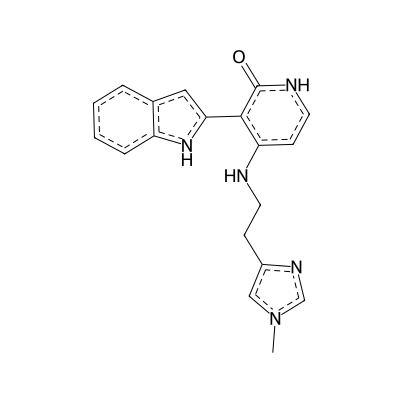 Cn1cnc(CCNc2cc[nH]c(=O)c2-c2cc3ccccc3[nH]2)c1